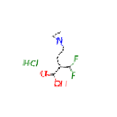 Cl.O=C(O)C(CCN1CC1)C(F)F